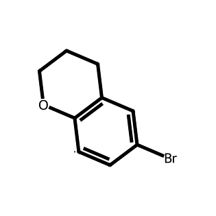 Brc1c[c]c2c(c1)CCCO2